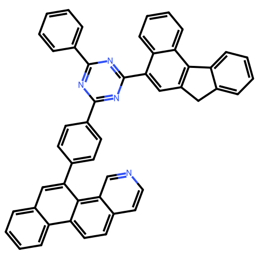 c1ccc(-c2nc(-c3ccc(-c4cc5ccccc5c5ccc6ccncc6c45)cc3)nc(-c3cc4c(c5ccccc35)-c3ccccc3C4)n2)cc1